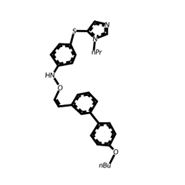 CCCCOc1ccc(-c2cccc(/C=C\ONc3ccc(Sc4cncn4CCC)cc3)c2)cc1